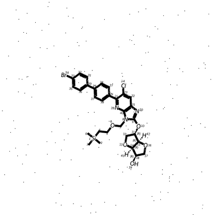 C[Si](C)(C)CCOCn1c(O[C@@H]2CO[C@H]3[C@@H]2OC[C@H]3O)nc2cc(Cl)c(-c3ccc(-c4ccc(Br)cc4)cc3)nc21